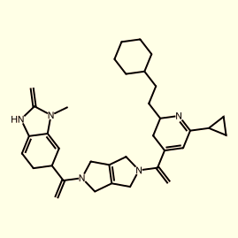 C=C(C1=CC(C2CC2)=NC(CCC2CCCCC2)C1)N1CC2=C(C1)CN(C(=C)C1C=C3C(=CC1)NC(=C)N3C)C2